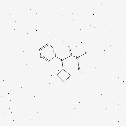 O=C(N(F)F)N(c1cccnc1)C1CCC1